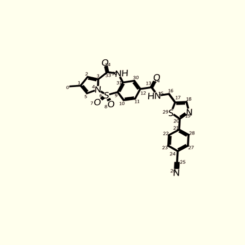 Cc1cc2n(c1)S(=O)(=O)c1ccc(C(=O)NCc3cnc(-c4ccc(C#N)cc4)s3)cc1NC2=O